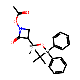 CC(=O)ON1CC([C@@H](C)O[Si](c2ccccc2)(c2ccccc2)C(C)(C)C)C1=O